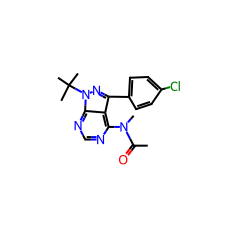 CC(=O)N(C)c1ncnc2c1c(-c1ccc(Cl)cc1)nn2C(C)(C)C